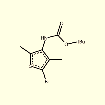 Cc1sc(Br)c(C)c1NC(=O)OC(C)(C)C